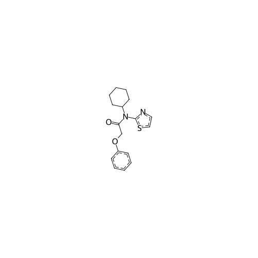 O=C(COc1ccccc1)N(c1nccs1)C1CCCCC1